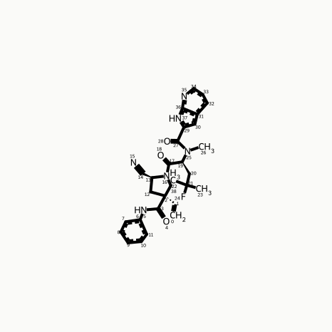 C=C[C@]1(C(=O)Nc2ccccc2)C[C@@H](C#N)N(C(=O)[C@H](CC(C)(C)F)N(C)C(=O)c2cc3cccnc3[nH]2)C1